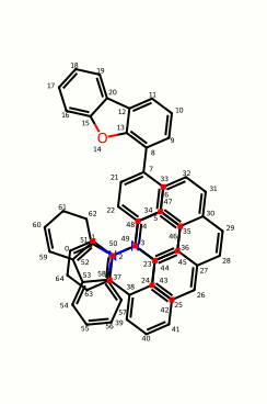 C1=CC(N(c2ccc(-c3cccc4c3oc3ccccc34)cc2)c2cccc3ccc4ccccc4c23)=C(c2ccccc2-c2ccccc2-n2c3c(c4ccccc42)C=CCC3)CC1